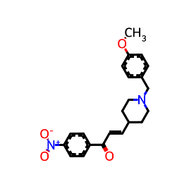 COc1ccc(CN2CCC(C=CC(=O)c3ccc([N+](=O)[O-])cc3)CC2)cc1